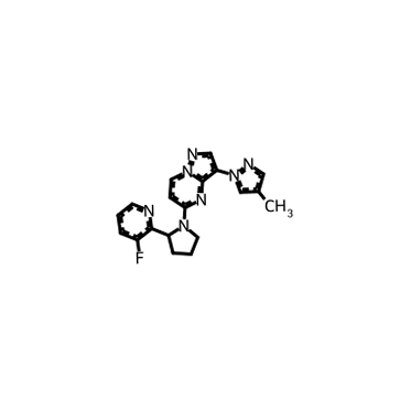 Cc1cnn(-c2cnn3ccc(N4CCCC4c4ncccc4F)nc23)c1